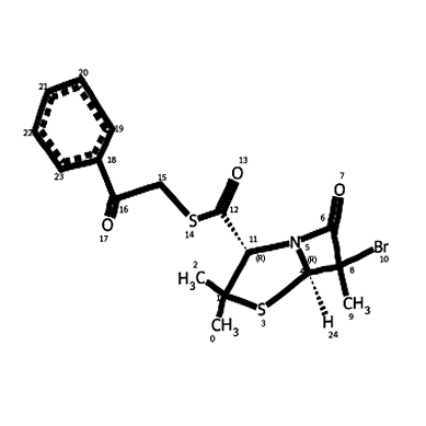 CC1(C)S[C@H]2N(C(=O)C2(C)Br)[C@H]1C(=O)SCC(=O)c1ccccc1